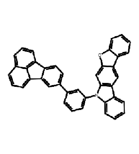 c1cc(-c2ccc3c(c2)-c2cccc4cccc-3c24)cc(-n2c3ccccc3c3cc4c(cc32)oc2ccccc24)c1